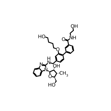 C[C@H]1[C@@H](O)[C@H](n2c(NCc3ccc(-c4cccc(C(=O)NCCO)c4)c(OCCCCO)c3)nc3ccccc32)O[C@@H]1CO